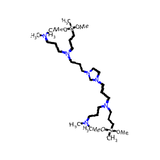 CO[Si](C)(CCCN(CCCN(C)C)CCCN1CCN(CCCN(CCCN(C)C)CCC[Si](C)(OC)OC)C1)OC